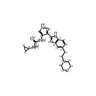 O=C(Nc1c[nH]nc1-c1nc2cc(CCN3CCOCC3)ccc2[nH]1)NC1CC1